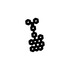 c1ccc(N(c2ccccc2)c2ccc(-c3ccc(-c4c5ccccc5c(-c5c6ccccc6cc6ccccc56)c5c6ccccc6c6ccccc6c45)cc3)cc2)cc1